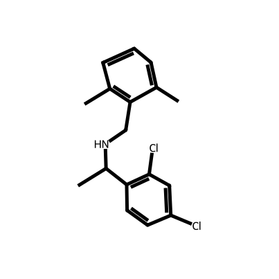 Cc1cccc(C)c1CNC(C)c1ccc(Cl)cc1Cl